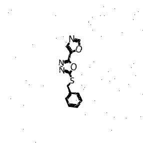 c1ccc(CSc2nnc(-c3cnco3)o2)cc1